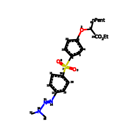 CCCCCC(Oc1ccc(S(=O)(=O)c2ccc(N=NN(C)C)cc2)cc1)C(=O)OCC